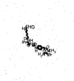 CC(C)C(NC(=O)CCCCCNC=O)C(=O)NCC(=O)Nc1ccc(COC(=O)N(C)C(C(N)=O)C(C)C)cc1